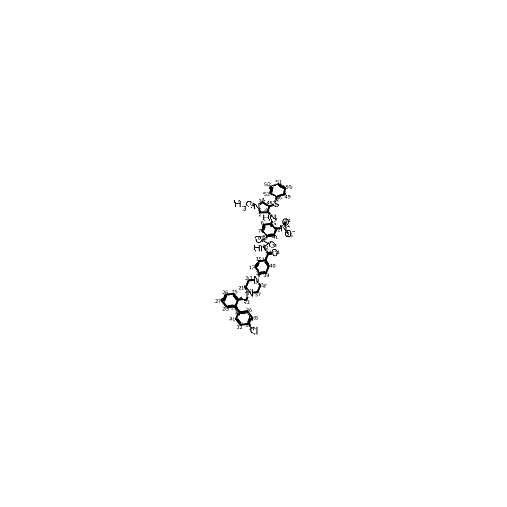 CN1CC(Nc2ccc(S(=O)(=O)NC(=O)c3ccc(N4CCN(Cc5ccccc5-c5ccc(Cl)cc5)CC4)cc3)cc2[N+](=O)[O-])C(Sc2ccccc2)C1